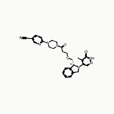 Cc1c(N2Cc3ccccc3[C@@H]2COCCC(=O)N2CCN(c3ccc(C#N)cn3)CC2)cn[nH]c1=O